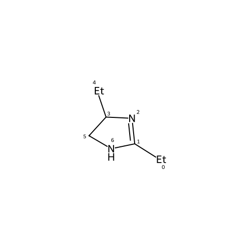 CCC1=NC(CC)CN1